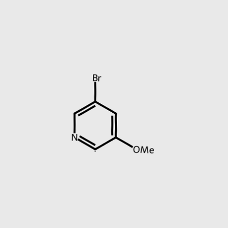 COc1[c]ncc(Br)c1